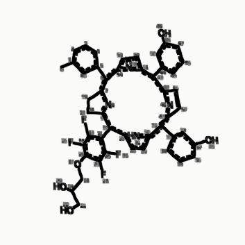 Cc1cccc(-c2c3nc(c(-c4c(F)c(F)c(OCC(O)CO)c(F)c4F)c4ccc([nH]4)c(-c4cccc(O)c4)c4nc(c(-c5cccc(O)c5)c5ccc2[nH]5)C=C4)CC3)c1